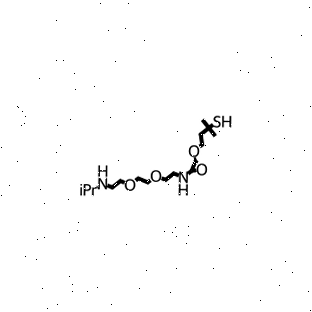 CC(C)NCCOCCOCCNC1O[C@@H]1OCCC(C)(C)S